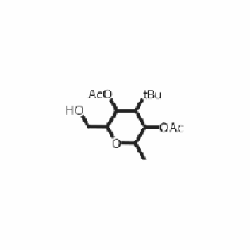 CC(=O)OC1C(C)OC(CO)C(OC(C)=O)C1C(C)(C)C